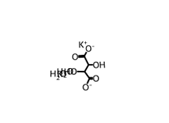 O.O.O=C([O-])C(O)C(O)C(=O)[O-].[K+].[K+]